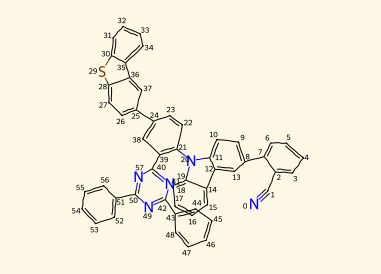 N#Cc1ccccc1-c1ccc2c(c1)c1ccccc1n2-c1ccc(-c2ccc3sc4ccccc4c3c2)cc1-c1nc(-c2ccccc2)nc(-c2ccccc2)n1